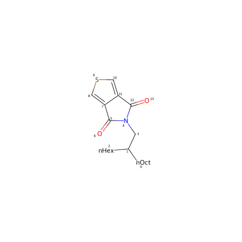 CCCCCCCCC(CCCCCC)CN1C(=O)c2cscc2C1=O